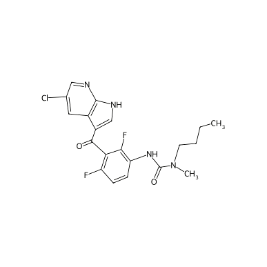 CCCCN(C)C(=O)Nc1ccc(F)c(C(=O)c2c[nH]c3ncc(Cl)cc23)c1F